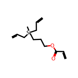 C=CC[Si](C)(CC=C)CCCOC(=O)C=C